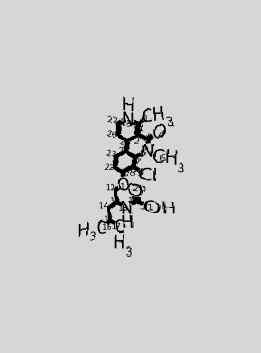 CC1=C2C(=O)N(C)C3C(Cl)=C(OCC(CC(C)C)NC(=O)O)C=CC3=C2C=CN1